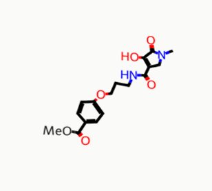 COC(=O)c1ccc(OCCCNC(=O)C2=C(O)C(=O)N(C)C2)cc1